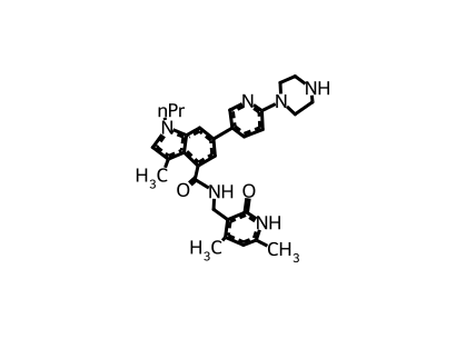 CCCn1cc(C)c2c(C(=O)NCc3c(C)cc(C)[nH]c3=O)cc(-c3ccc(N4CCNCC4)nc3)cc21